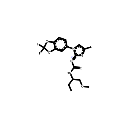 CCC(COC)NC(=O)/N=c1\sc(C)cn1-c1ccc2c(c1)OC(F)(F)O2